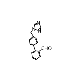 O=Cc1ccccc1-c1ccc(Cn2cncn2)cc1